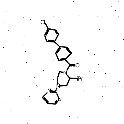 CC(C)C1CN(c2ncccn2)CCN1C(=O)c1ccc(-c2ccc(Cl)cc2)cc1